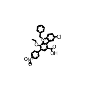 CCOc1c(-c2ccc([N+](=O)[O-])cc2)cc(C(=O)O)c2c3cc(Cl)ccc3n(Cc3ccccc3)c12